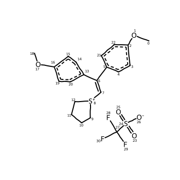 COc1ccc(C(=C[S+]2CCCC2)c2ccc(OC)cc2)cc1.O=S(=O)([O-])C(F)(F)F